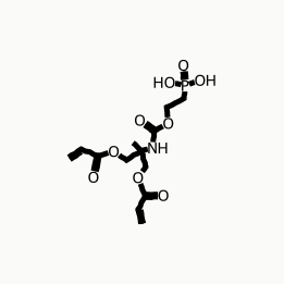 C=CC(=O)OCC(C)(COC(=O)C=C)NC(=O)OCCP(=O)(O)O